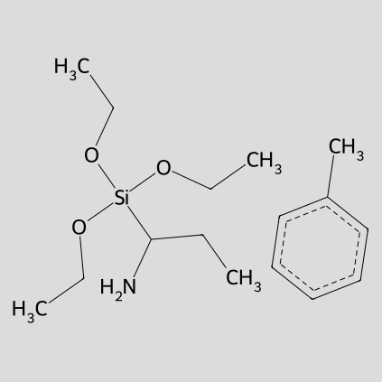 CCO[Si](OCC)(OCC)C(N)CC.Cc1ccccc1